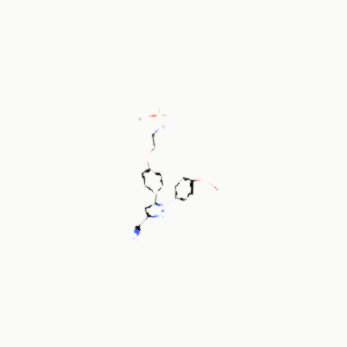 COc1ccc(-n2nc(C#N)cc2-c2ccc(OCCNS(C)(=O)=O)cc2)cc1